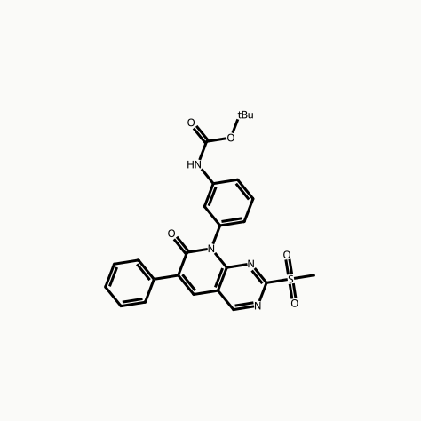 CC(C)(C)OC(=O)Nc1cccc(-n2c(=O)c(-c3ccccc3)cc3cnc(S(C)(=O)=O)nc32)c1